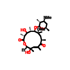 CC[C@H]1OC(=O)[C@H](C)[C@@H](O)[C@H](C)[C@@H](O[C@@H]2O[C@H](C)C[C@H](NC)[C@H]2C)[C@](C)(OC)C[C@@H](C)C(=O)/C(C)=C/[C@]1(C)O